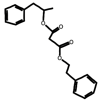 CC(Cc1ccccc1)OC(=O)CC(=O)OCCc1ccccc1